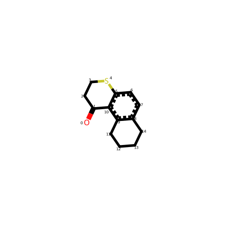 O=C1CCSc2ccc3c(c21)CCCC3